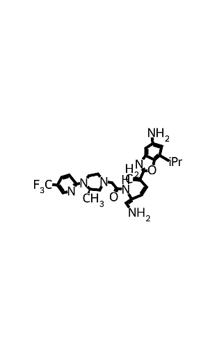 C=C(/C=C\C(=C/N)NC(=O)CN1CCN(c2ccc(C(F)(F)F)cn2)[C@H](C)C1)c1nc2cc(N)cc(C(C)C)c2o1